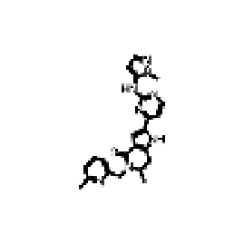 Cc1cccc(CN2C(=O)c3cc(-c4ccnc(Nc5ccnn5C)n4)[nH]c3CC2C)n1